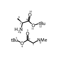 CNCC(=O)OC(C)(C)C.C[C@H](N)C(=O)OC(C)(C)C